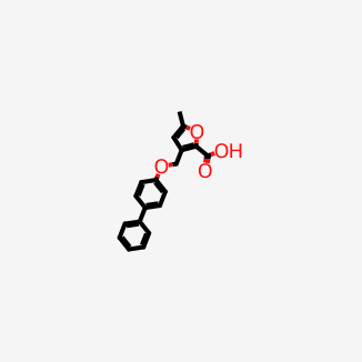 Cc1cc(COc2ccc(-c3ccccc3)cc2)c(C(=O)O)o1